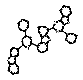 c1ccc(-c2nc(-c3ccc4sc5ccccc5c4c3)nc(-c3cccc4sc5c(-c6nc(-c7ccccc7)c7sc8ccccc8c7n6)cccc5c34)n2)cc1